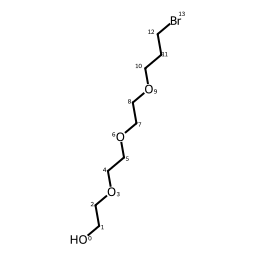 OCCOCCOCCOCCCBr